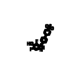 CS(=O)(=O)N1CCC(c2ccc(-n3nnc4cc(F)c(O)c(F)c43)cc2)CC1